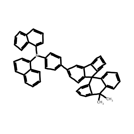 CC1(C)c2ccccc2C2(c3ccccc3-c3cc(-c4ccc(N(c5cccc6ccccc56)c5cccc6ccccc56)cc4)ccc32)c2ccccc21